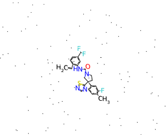 C=Cc1ccc(C(F)F)cc1NC(=O)N1CC[C@](c2ccc(C)c(F)c2)(c2ncns2)C1